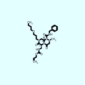 C=CCOC(=O)NC[C@H]1C(=O)N(CCCOCCCC)C[C@H]2N1C(=O)CN(C)N2C(=O)NCc1ccccc1